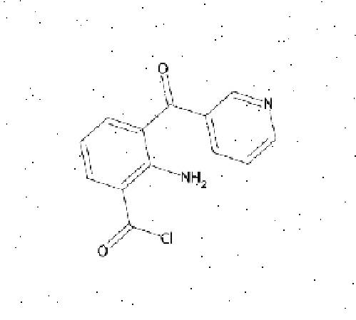 Nc1c(C(=O)Cl)cccc1C(=O)c1cccnc1